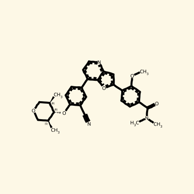 COc1cc(C(=O)N(C)C)ccc1-c1cc2nccc(-c3ccc(O[C@H]4[C@H](C)COC[C@@H]4C)c(C#N)c3)c2o1